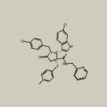 Cc1ccc(S[C@]2(C(=O)NCc3ccccn3)CC(=O)N(Cc3ccc(Cl)cc3)[C@@H]2c2c[nH]c3cc(Cl)ccc23)cc1